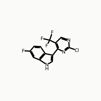 Fc1ccc2c(-c3nc(Cl)ncc3C(F)(F)F)c[nH]c2c1